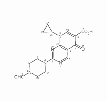 O=CN1CCN(c2ncc3c(=O)c(C(=O)O)cn(C4CC4)c3n2)CC1